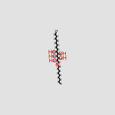 CCCCCCCCCOCC(O)C(O)C(O)C(O)C(O)CCCCCCCCC